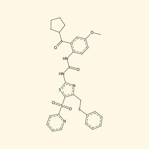 COc1ccc(NC(=O)Nc2nc(CSc3ccccc3)c(S(=O)(=O)c3ccccn3)s2)c(C(=O)C2CCCC2)c1